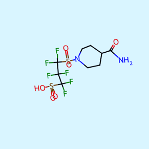 NC(=O)C1CCN(S(=O)(=O)C(F)(F)C(F)(F)C(F)(F)S(=O)(=O)O)CC1